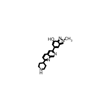 Cn1cc2cc(-c3cc4ccc(C5CCNCC5)nc4cn3)cc(O)c2n1